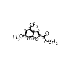 BCC(=O)c1cc2c(C(F)(F)F)cc(C)nc2o1